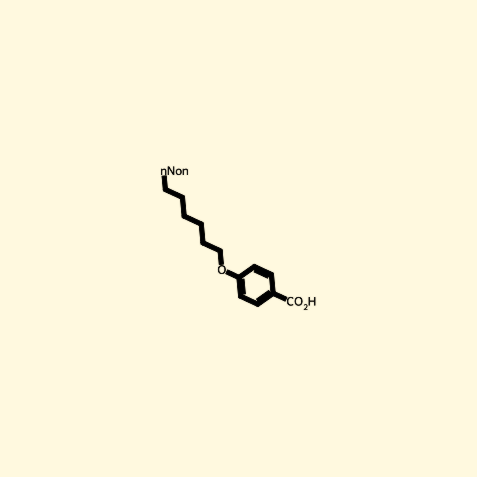 CCCCCCCCCCCCCCCOc1ccc(C(=O)O)cc1